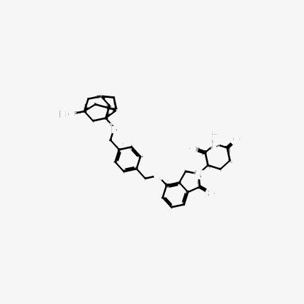 O=C1CCC(N2Cc3c(SCc4ccc(CNC56CC7CC5CC(O)(C7)C6)cc4)cccc3C2=O)C(=O)N1